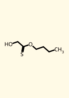 CCCCOC(=S)CO